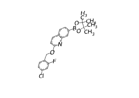 CC1(C)OB(c2ccc3ccc(OCc4ccc(Cl)cc4F)nc3c2)OC1(C)C